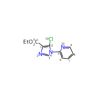 CCOC(=O)c1ncn(-c2ccccn2)c1Cl